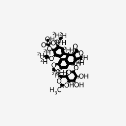 [2H]C([2H])([2H])Oc1cc([C@]2([2H])c3cc4c(cc3[C@@H](O[C@@H]3O[C@H]5[C@@H](O[C@H](C)OC5([2H])[2H])[C@H](O)[C@H]3O)[C@@H]3[C@@H]2C(=O)OC3([2H])[2H])OCO4)cc(OC([2H])([2H])[2H])c1OP(=O)(O)O